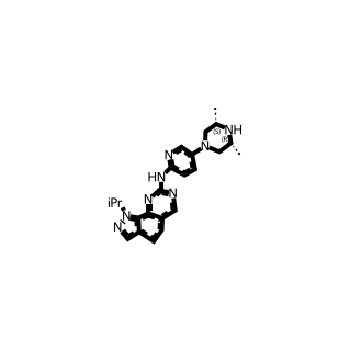 CC(C)n1ncc2ccc3cnc(Nc4ccc(N5C[C@@H](C)N[C@@H](C)C5)cn4)nc3c21